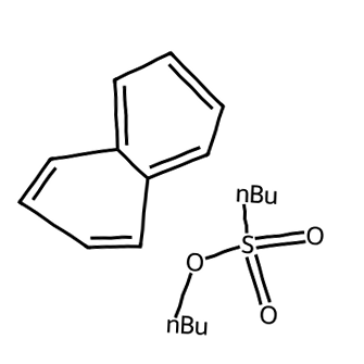 CCCCOS(=O)(=O)CCCC.c1ccc2ccccc2c1